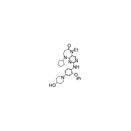 CCN1C(=O)CCN(C2CCCC2)c2nc(Nc3ccc(N4CCC(O)CC4)cc3OC(C)C)ncc21